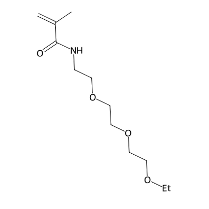 C=C(C)C(=O)NCCOCCOCCOCC